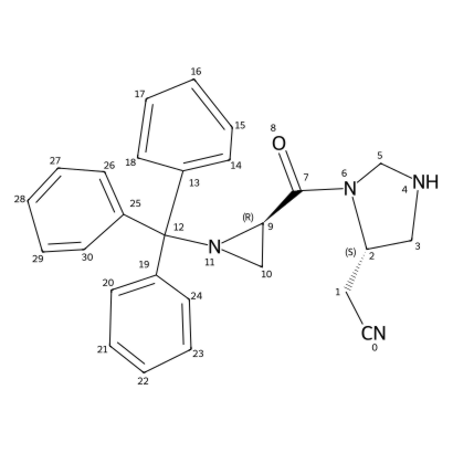 N#CC[C@H]1CNCN1C(=O)[C@H]1CN1C(c1ccccc1)(c1ccccc1)c1ccccc1